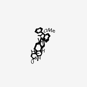 COC(c1ccccc1)(c1ccccc1)C(C)[C@H]1CC[C@H]2[C@@H]3CC[C@H]4N(C)C(=O)CC[C@]4(C)[C@H]3CC[C@]12C